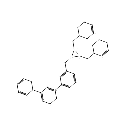 C1=CCC(C2=CCCC(c3cccc(Cn4n(CC5C=CCCC5)n4CC4CC=CCC4)c3)=C2)C=C1